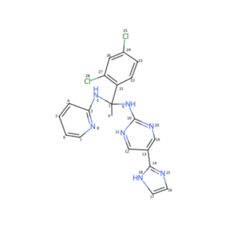 CC(Nc1[c]cccn1)(Nc1ncc(-c2ncc[nH]2)cn1)c1ccc(Cl)cc1Cl